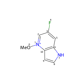 CO[n+]1cc(F)cc2[nH]ccc21